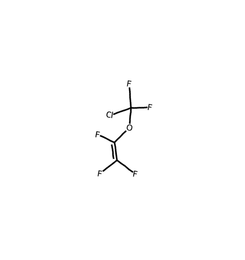 FC(F)=C(F)OC(F)(F)Cl